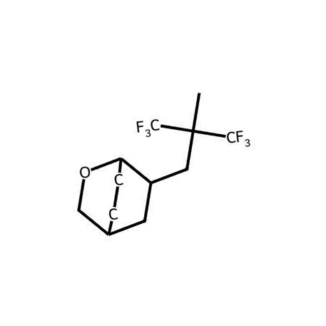 CC(CC1CC2CCC1OC2)(C(F)(F)F)C(F)(F)F